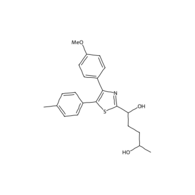 COc1ccc(-c2nc(C(O)CCC(C)O)sc2-c2ccc(C)cc2)cc1